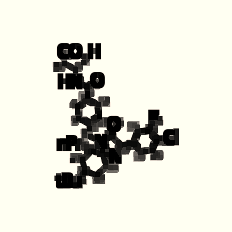 CCC[C@H](c1ccc(C(=O)NCCC(=O)O)cc1)N1C(=O)C(c2ccc(Cl)c(F)c2)=NC12CCC(C(C)(C)C)CC2